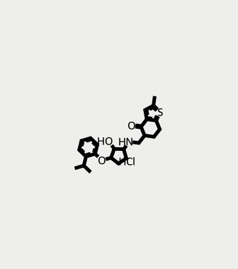 Cc1cc2c(s1)CCC(CNC1CCC(Oc3ccccc3C(C)C)C1O)C2=O.Cl